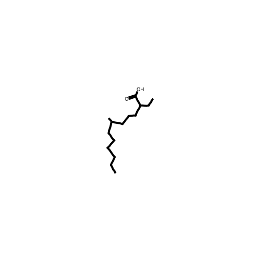 CCCCCCC(C)CCCC(CC)C(=O)O